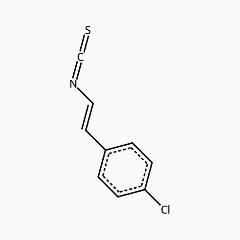 S=C=NC=Cc1ccc(Cl)cc1